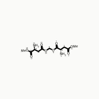 COC(=O)C[C@H](N)C(=O)OCOC(=O)C[C@H](N)C(=O)OC